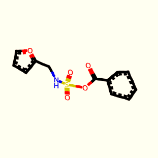 O=C(OS(=O)(=O)NCc1ccco1)c1ccccc1